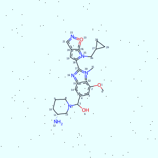 COc1cc(C(O)N2CCC[C@@H](N)C2)cc2nc(-c3cc4cnoc4n3CC3CC3)n(C)c12